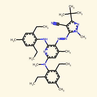 CCc1cc(C)cc(CC)c1Nc1nc(N(C)c2c(CC)cc(C)cc2CC)cc(C)c1N=Nc1c(C#N)c(C(C)(C)C)nn1C